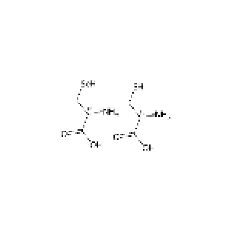 N[C@@H](CS)C(=O)O.N[C@@H](C[SeH])C(=O)O